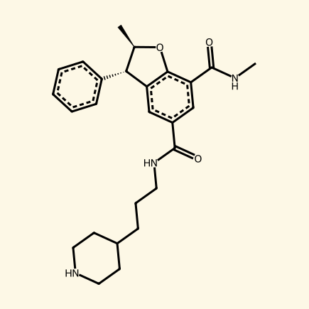 CNC(=O)c1cc(C(=O)NCCCC2CCNCC2)cc2c1O[C@H](C)[C@H]2c1ccccc1